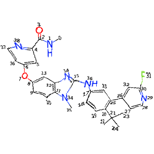 CNC(=O)c1cc(Oc2ccc3c(c2)nc(Nc2ccc(C(C)(C)C)c(-c4ccnc(F)c4)c2)n3C)ccn1